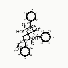 O=[C]OCC(P(=O)(O)Oc1ccccc1)(P(=O)(O)Oc1ccccc1)P(=O)(O)Oc1ccccc1